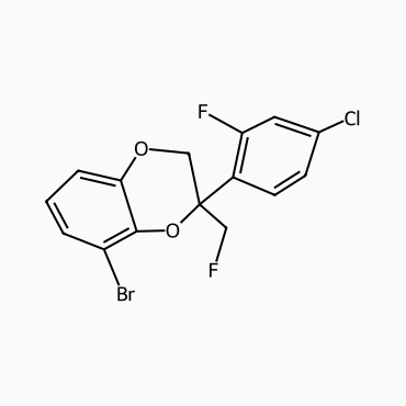 FCC1(c2ccc(Cl)cc2F)COc2cccc(Br)c2O1